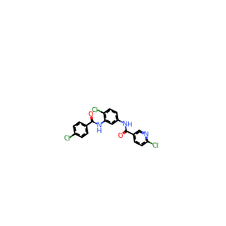 O=C(Nc1ccc(Cl)c(NC(=O)c2ccc(Cl)cc2)c1)c1ccc(Cl)nc1